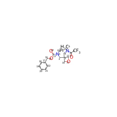 CC(C)N(CC1(CN(C)C(=O)C(F)(F)F)COC1)C(=O)OCc1ccccc1